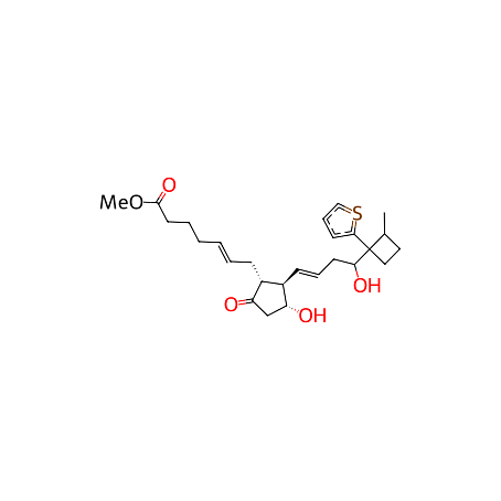 COC(=O)CCCC=CC[C@H]1C(=O)C[C@@H](O)[C@@H]1C=CCC(O)C1(c2cccs2)CCC1C